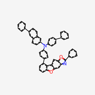 c1ccc(-c2ccc(N(c3ccc(-c4cccc5oc6cc7nc(-c8ccccc8)oc7cc6c45)cc3)c3ccc4cc(-c5ccccc5)ccc4c3)cc2)cc1